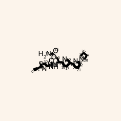 C#Cc1nc(NC(=O)NC(COC(N)=O)c2ccc(-c3cccc(N4CCCC4)n3)cn2)cs1